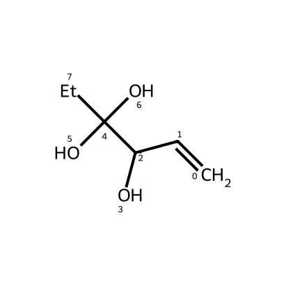 C=C[C](O)C(O)(O)CC